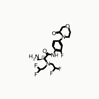 NC[C@@H](C(=O)Nc1ccc(N2CCOCC2=O)cc1F)N(CC(F)F)CC(F)F